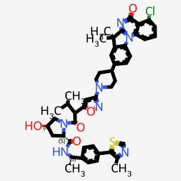 Cc1ncsc1-c1ccc([C@H](C)NC(=O)[C@@H]2C[C@@H](O)CN2C(=O)C(c2cc(N3CCC(c4ccc5c(c4)C(C)(C)c4nc(=O)c6c(Cl)cccc6n4-5)CC3)no2)C(C)C)cc1